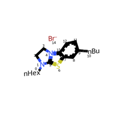 CCCCCCN1CC[n+]2c1sc1cc(CCCC)ccc12.[Br-]